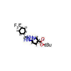 CC(C)(C)OC(=O)c1ccc(NNC[C@H]2CC[C@H](C(F)(F)F)CC2)nc1